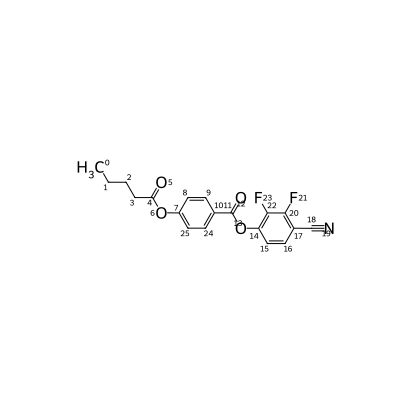 CCCCC(=O)Oc1ccc(C(=O)Oc2ccc(C#N)c(F)c2F)cc1